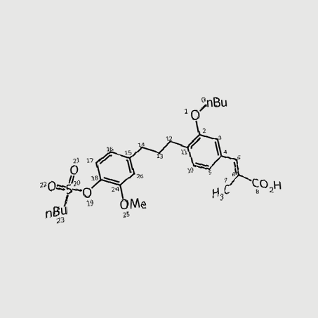 CCCCOc1cc(C=C(C)C(=O)O)ccc1CCCc1ccc(OS(=O)(=O)CCCC)c(OC)c1